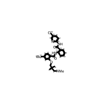 CNCC(C)(C)COc1cc(C(C)(C)C)ccc1C(=O)Nc1ccccc1C(=O)Nc1ccc(Cl)cn1